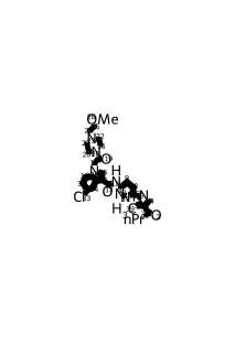 CCCC(=O)c1cnn(-c2ccc(NC(=O)c3cn(CC(=O)N4CCN(CCOC)CC4)c4ccc(Cl)cc34)nn2)c1C